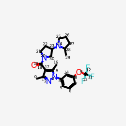 Cc1nn(-c2cccc(OC(F)(F)F)c2)c(C)c1C(=O)N1CCC(N2CCCC2C)C1